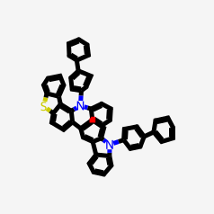 c1ccc(-c2ccc(N(c3ccccc3)c3c(-c4ccc5c(c4)c4ccccc4n5-c4ccc(-c5ccccc5)cc4)ccc4sc5ccccc5c34)cc2)cc1